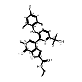 CCNC(=O)c1cc2c(-c3nc(C(C)(C)O)ccc3Oc3c(C)cc(F)cc3C)cn(C)c(=O)c2[nH]1